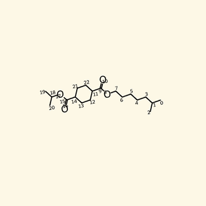 CC(C)CCCCCOC(=O)C1CCC(C(=O)OC(C)C)CC1